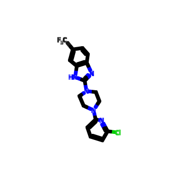 FC(F)(F)c1ccc2nc(N3CCN(c4cccc(Cl)n4)CC3)[nH]c2c1